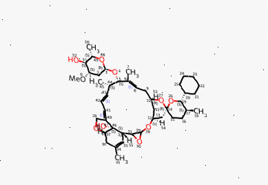 CO[C@H]1C[C@H](O[C@@H]2/C(C)=C/C[C@@H]3C[C@@H](C[C@]4(CC[C@H](C)[C@@H](C5CCCCC5)O4)O3)OC3OC3[C@@H]3C=C(C)C[C@H]4OC/C(=C\C=C\[C@@H]2C)[C@]43O)O[C@@H](C)[C@@H]1O